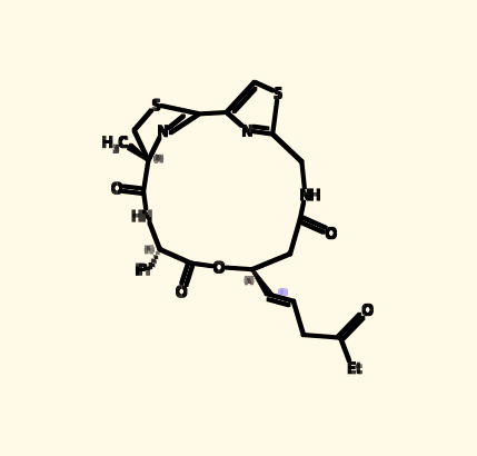 CCC(=O)C/C=C/[C@@H]1CC(=O)NCc2nc(cs2)C2=N[C@@](C)(CS2)C(=O)N[C@@H](C(C)C)C(=O)O1